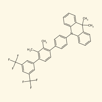 Cc1c(-c2ccc(N3c4ccccc4C(C)(C)c4ccccc43)cc2)ccc(-c2cc(C(F)(F)F)cc(C(F)(F)F)c2)c1C